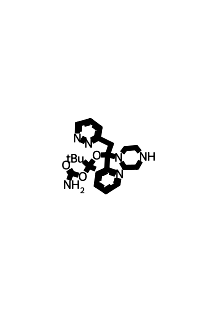 CC(C)(C)C(C)(OC(N)=O)OC(Cc1cccnn1)(c1ccccn1)N1CCNCC1